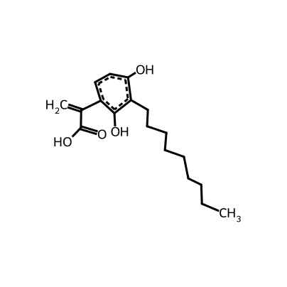 C=C(C(=O)O)c1ccc(O)c(CCCCCCCCC)c1O